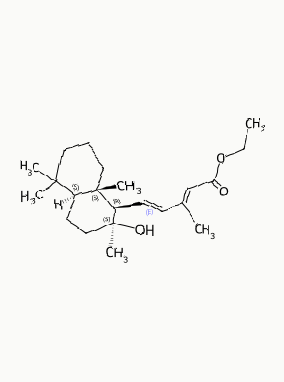 CCOC(=O)C=C(C)/C=C/[C@@H]1[C@@]2(C)CCCC(C)(C)[C@@H]2CC[C@]1(C)O